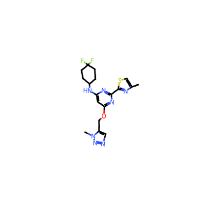 Cc1csc(-c2nc(NC3CCC(F)(F)CC3)cc(OCc3cnnn3C)n2)n1